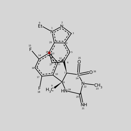 CCn1ncc2cc([C@@H]3[C@@](C)(c4c(F)cc(F)cc4F)NC(=N)N(C)S3(=O)=O)ccc21